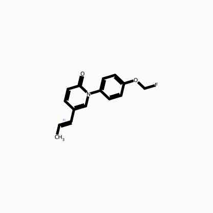 C/C=C/c1ccc(=O)n(-c2ccc(OCF)cc2)c1